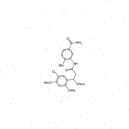 CCCCCC(CC(=O)Nc1cc(C(N)=O)ccc1C(C)(C)C)c1cc(Cl)c(OC)cc1OC